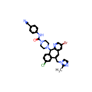 Cc1nccn1CC1=Cc2cc(Br)cnc2C(N2CCN(C(=O)Nc3ccc(C#N)cc3)CC2)c2ccc(Cl)cc21